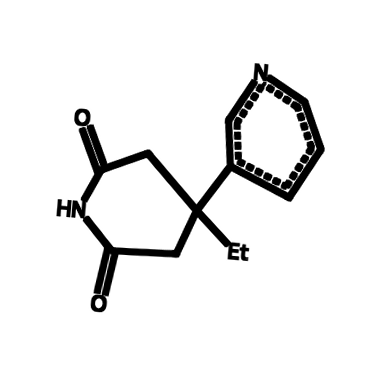 CCC1(c2cccnc2)CC(=O)NC(=O)C1